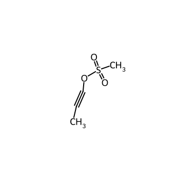 CC#COS(C)(=O)=O